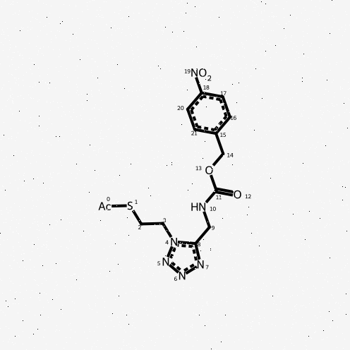 CC(=O)SCCn1nnnc1CNC(=O)OCc1ccc([N+](=O)[O-])cc1